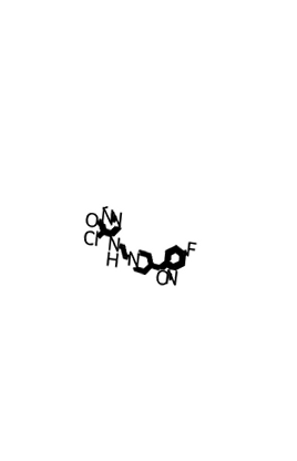 Cn1ncc(NCCN2CCC(c3onc4cc(F)ccc34)CC2)c(Cl)c1=O